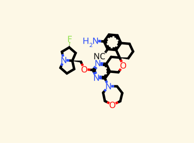 N#Cc1c(N)ccc2c1[C@@]1(CCC2)Cc2nc(OC[C@@]34CCCN3C[C@H](F)C4)nc(N3CCCOCC3)c2CO1